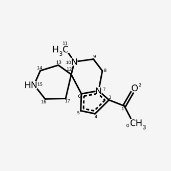 CC(=O)c1ccc2n1CCN(C)C21CCNCC1